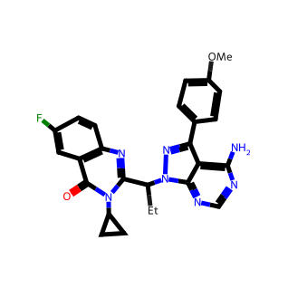 CCC(c1nc2ccc(F)cc2c(=O)n1C1CC1)n1nc(-c2ccc(OC)cc2)c2c(N)ncnc21